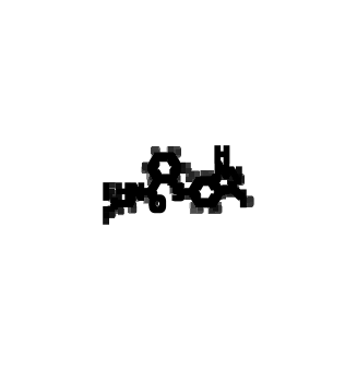 O=C(NCC(F)F)c1ccccc1Sc1ccc2c(I)n[nH]c2c1